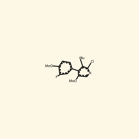 COc1ccc(-c2c(OC)cnc(Cl)c2C(C)(C)C)cc1F